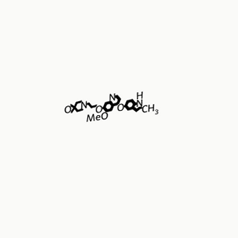 COc1cc2c(Oc3ccc4[nH]c(C)cc4c3)ccnc2cc1OCCCN1CCC2(CC1)COC2